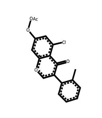 CC(=O)OOc1cc(Cl)c2c(=O)c(-c3ccccc3C)coc2c1